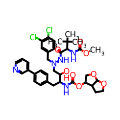 COC(=O)NC(C(=O)NN(Cc1ccc(Cl)c(Cl)c1)CC(O)C(Cc1ccc(-c2cccnc2)cc1)NC(=O)OC1COC2OCCC12)C(C)(C)C